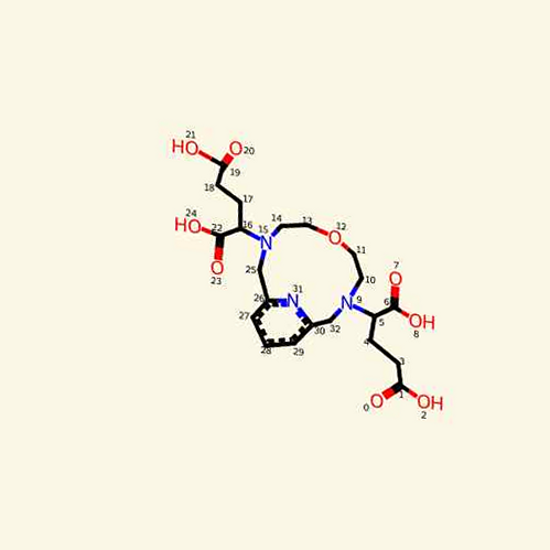 O=C(O)CCC(C(=O)O)N1CCOCCN(C(CCC(=O)O)C(=O)O)Cc2cccc(n2)C1